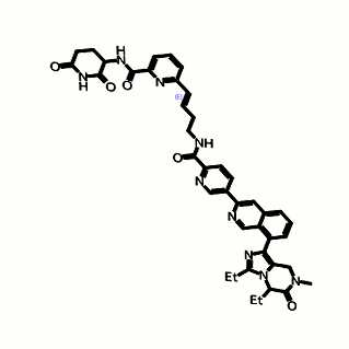 CCc1nc(-c2cccc3cc(-c4ccc(C(=O)NCC/C=C/c5cccc(C(=O)NC6CCC(=O)NC6=O)n5)nc4)ncc23)c2n1C(CC)C(=O)N(C)C2